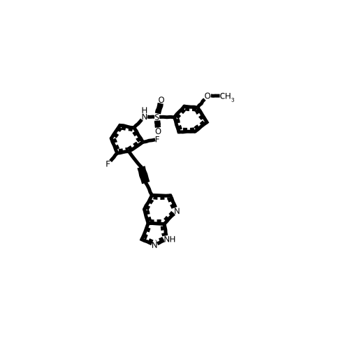 COc1cccc(S(=O)(=O)Nc2ccc(F)c(C#Cc3cnc4[nH]ncc4c3)c2F)c1